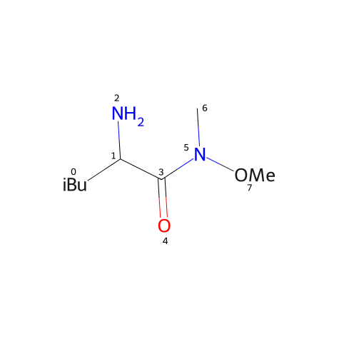 CCC(C)C(N)C(=O)N(C)OC